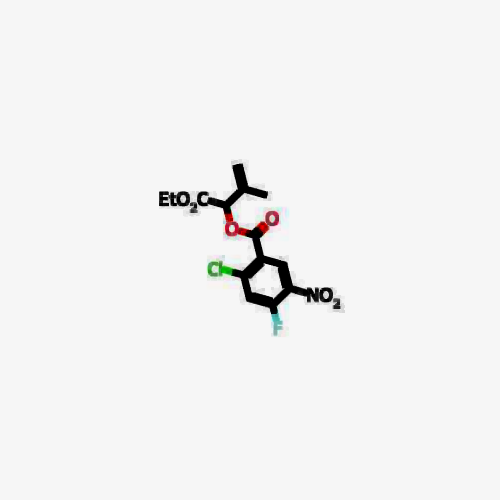 C=C(C)C(OC(=O)c1cc([N+](=O)[O-])c(F)cc1Cl)C(=O)OCC